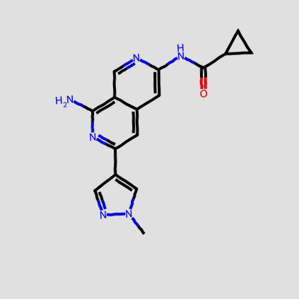 Cn1cc(-c2cc3cc(NC(=O)C4CC4)ncc3c(N)n2)cn1